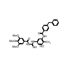 COc1cc(C(=O)NC(=N)Nc2ccc(C)c(NC(=O)c3ccc(Cc4ccccc4)cc3)c2)cc(OC)c1OC.Cl